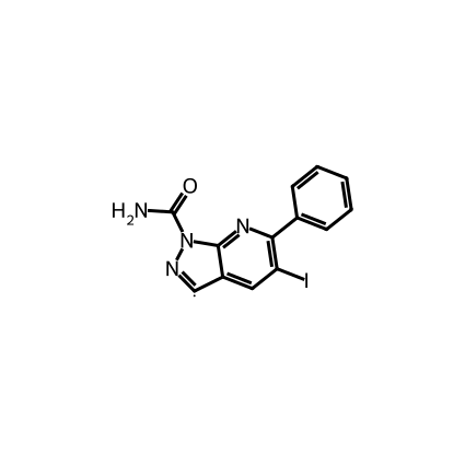 NC(=O)n1n[c]c2cc(I)c(-c3ccccc3)nc21